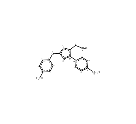 COCc1sc(Oc2ccc(C(F)(F)F)cc2)nc1-c1ccc(C(=O)O)cc1